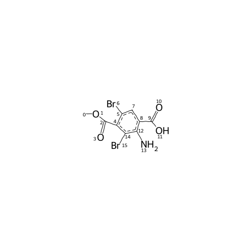 COC(=O)c1c(Br)cc(C(=O)O)c(N)c1Br